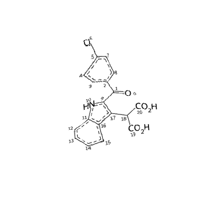 O=C(c1ccc(Cl)cc1)c1[nH]c2ccccc2c1C(C(=O)O)C(=O)O